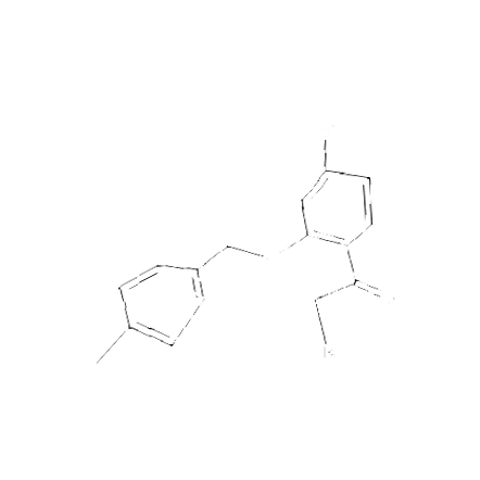 CCCc1ccc(C(=O)CBr)c(OCc2ccc(C)cc2)c1